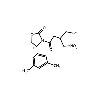 Cc1cc(C)cc([C@@H]2COC(=O)N2C(=O)CC(CC(C)C)C[N+](=O)[O-])c1